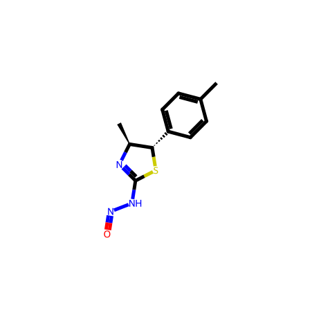 Cc1ccc([C@@H]2SC(NN=O)=N[C@H]2C)cc1